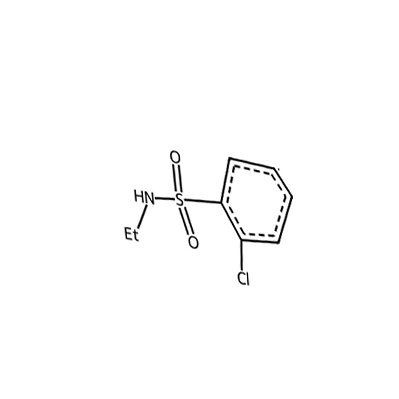 CCNS(=O)(=O)c1c[c]ccc1Cl